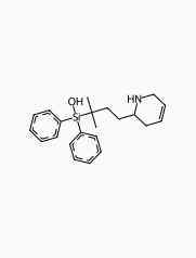 CC(C)(CCC1CC=CCN1)[Si](O)(c1ccccc1)c1ccccc1